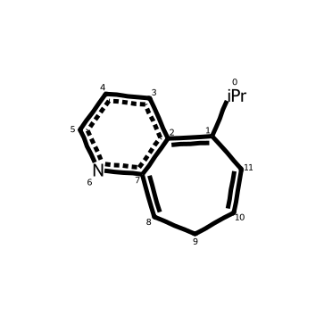 CC(C)C1=c2cccnc2=CCC=C1